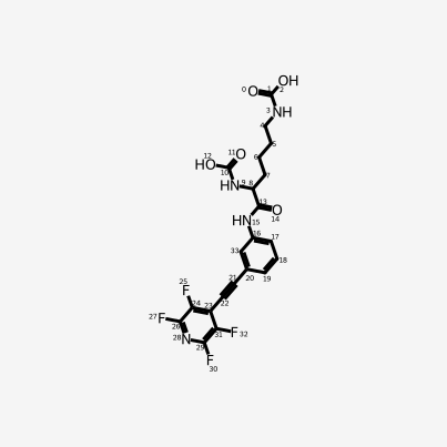 O=C(O)NCCCCC(NC(=O)O)C(=O)Nc1cccc(C#Cc2c(F)c(F)nc(F)c2F)c1